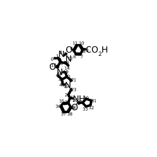 Cc1nc(Oc2ccc(C(=O)O)cc2)nc(C)c1C(=O)N1CC2CN(CCC(NC(=O)C3CCCC3)c3ccccc3)CC2C1